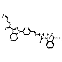 C=CCOC(=O)c1nn(-c2ccc(C=NNC(=S)Nc3ccccc3C(C)C)cc2)c2c1COCC2